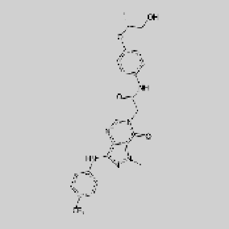 C[C@H](CO)Oc1ccc(NC(=O)Cn2cnc3c(Nc4ccc(C(F)(F)F)cc4)nn(C)c3c2=O)cc1